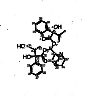 CC(C)C(O)(C(=O)OC(OC(=O)C(O)(c1ccccc1)C(C)C)C1CC2CCN1CC2)c1ccccc1.Cl